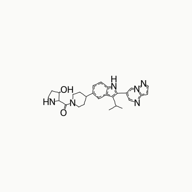 CC(C)c1c(-c2cnc3ccnn3c2)[nH]c2ccc(C3CCN(C(=O)C4NCC[C@H]4O)CC3)cc12